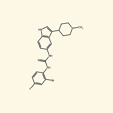 CN1CCC(c2c[nH]c3ccc(NC(=S)Nc4ccc(F)cc4Br)cc23)CC1